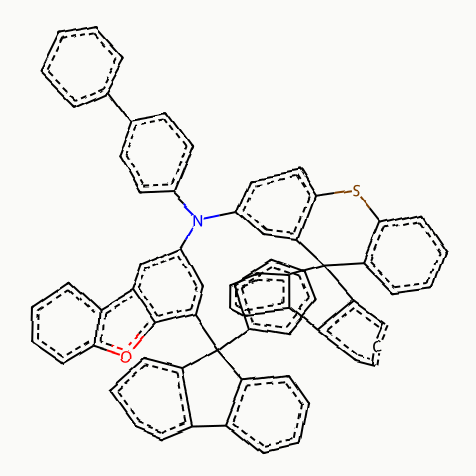 c1ccc(-c2ccc(N(c3ccc4c(c3)C3(c5ccccc5S4)c4ccccc4-c4ccccc43)c3cc(C4(c5ccccc5)c5ccccc5-c5ccccc54)c4oc5ccccc5c4c3)cc2)cc1